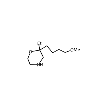 CCC1(CCCCOC)CNCCO1